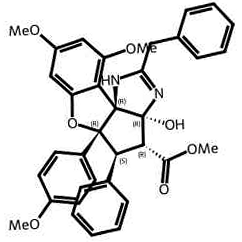 COC(=O)[C@@H]1[C@@H](c2ccccc2)[C@]2(c3ccc(OC)cc3)Oc3cc(OC)cc(OC)c3[C@@]23NC(Cc2ccccc2)=N[C@@]13O